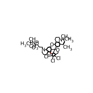 CC1=CC(C)(C)N2CCCc3c4c(cc1c32)C1(OCc2c(Cl)c(Cl)c(Cl)c(Cl)c21)c1cc2c(cc1O4)N(CCCC(=O)NC(C)(C)C)CCC2